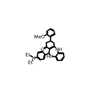 CCN(CC)c1ccc(C2Nc3ccccc3NC3=C2C(=O)CC(c2ccccc2OC)C3)cc1